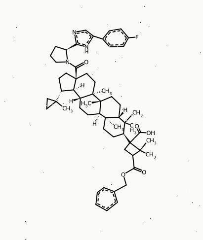 CC1([C@@H]2CC[C@]3(C(=O)N4CCC[C@H]4c4ncc(-c5ccc(F)cc5)[nH]4)CC[C@]4(C)[C@H](CC[C@@H]5[C@]6(C)CC[C@H](C7(C(=O)O)CC(C(=O)OCc8ccccc8)C7(C)C)C(C)(C)[C@H]6CC[C@]54C)[C@@H]23)CC1